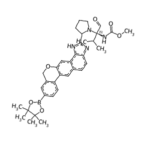 COC(=O)N[C@@](C=O)(C(C)C)N1CCCC1c1nc2ccc3cc4c(cc3c2[nH]1)OCc1cc(B2OC(C)(C)C(C)(C)O2)ccc1-4